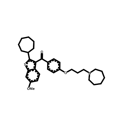 COc1ccc2c(C(=O)c3ccc(OCCCN4CCCCCC4)cc3)c(C3CCCCCC3)sc2c1